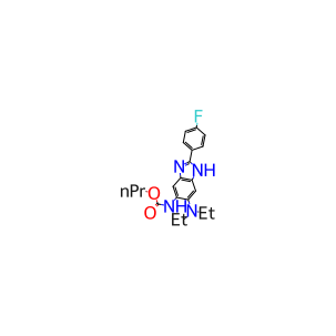 CCCOC(=O)Nc1cc2nc(-c3ccc(F)cc3)[nH]c2cc1N(CC)CC